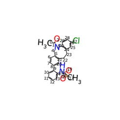 CC(=O)N1Cc2ccc(-c3ccccc3NS(C)(=O)=O)cc2CCc2cc(Cl)ccc21